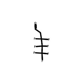 O=CCC(F)(F)C(F)(F)C(F)(F)F